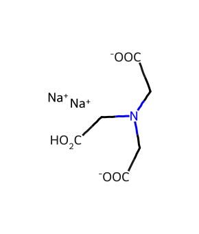 O=C([O-])CN(CC(=O)[O-])CC(=O)O.[Na+].[Na+]